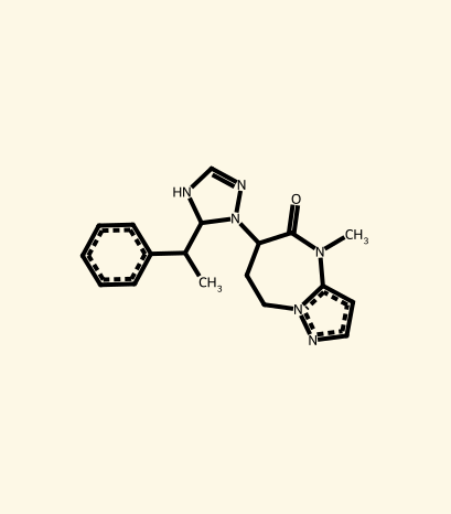 CC(c1ccccc1)C1NC=NN1C1CCn2nccc2N(C)C1=O